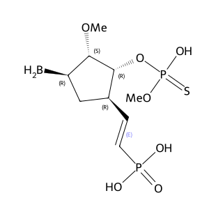 B[C@@H]1C[C@H](/C=C/P(=O)(O)O)[C@@H](OP(O)(=S)OC)[C@H]1OC